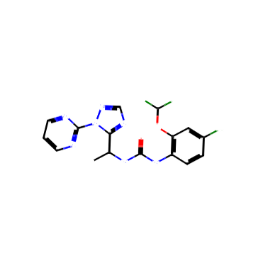 CC(NC(=O)Nc1ccc(Br)cc1OC(F)F)c1ncnn1-c1ncccn1